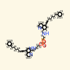 O=[PH](OCCCNCc1ccc(C#CCCCCCc2ccccc2)c2cccnc12)OCCCNCc1ccc(C#CCCCCCc2ccccc2)c2cccnc12